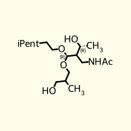 CCCC(C)CCO[C@H](OCC(C)CO)C(CNC(C)=O)[C@@H](C)O